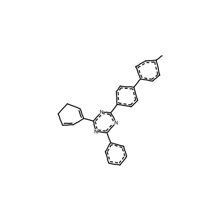 Cc1ccc(-c2ccc(-c3nc(C4=CCCC=C4)nc(-c4ccccc4)n3)cc2)cc1